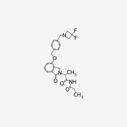 CCC(=O)NC(=O)C(C)N1Cc2c(OCc3ccc(CN4CC(F)(F)C4)cc3)cccc2C1=O